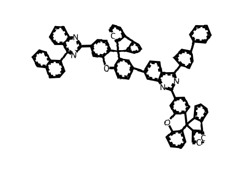 c1ccc(-c2ccc(-c3nc(-c4ccc5c(c4)Oc4ccccc4C54c5ccccc5-c5ccccc54)nc4cc(-c5ccc6c(c5)C5(c7ccc(-c8nc(-c9cccc%10ccccc9%10)c9ccccc9n8)cc7O6)c6ccccc6-c6ccccc65)ccc34)cc2)cc1